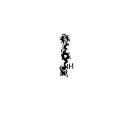 CC(C)(C)OC(=O)NCCc1ccc(OCCCN2CCOCC2)cc1